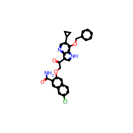 NC(=O)c1cc2cc(Cl)ccc2cc1OCC(=O)c1c[nH]c2c(OCc3ccccc3)c(C3CC3)cnc12